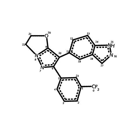 FC(F)(F)c1cccc(-c2nn3c(c2-c2ccc4[nH]ncc4c2)OCC3)c1